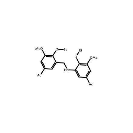 CCOc1c(CNc2cc(C(C)=O)cc(OC)c2OCC)cc(C(C)=O)cc1OC